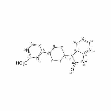 O=C(O)c1nccc(N2CCC(n3c(=O)[nH]c4ncccc43)CC2)n1